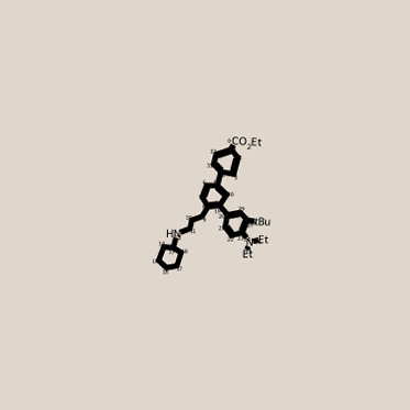 CCOC(=O)c1ccc(-c2ccc(CCCNC3CCCCC3)c(-c3ccc(N(CC)CC)c(C(C)(C)C)c3)c2)cc1